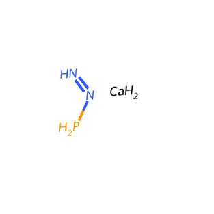 N=NP.[CaH2]